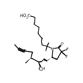 CC#CC[C@H](C)[C@H](O)/C=C/[C@H]1CC(F)(F)C(=O)N1C(C)(C)CCCCCCC(=O)O